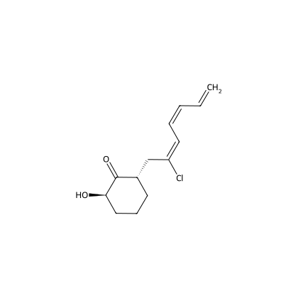 C=C/C=C\C=C(\Cl)C[C@@H]1CCC[C@@H](O)C1=O